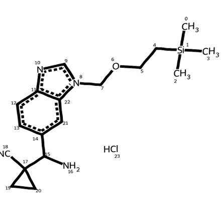 C[Si](C)(C)CCOCn1cnc2ccc(C(N)C3(C#N)CC3)cc21.Cl